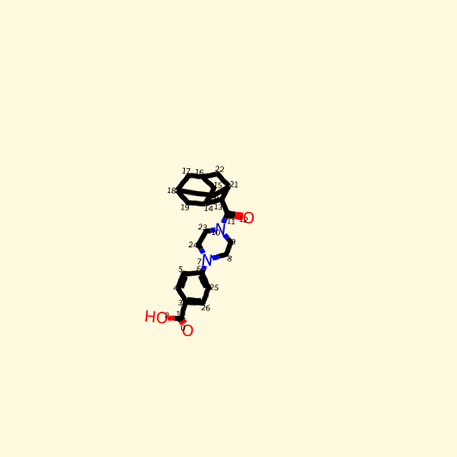 O=C(O)c1ccc(N2CCN(C(=O)C3C4CC5CC(C4)CC3C5)CC2)cc1